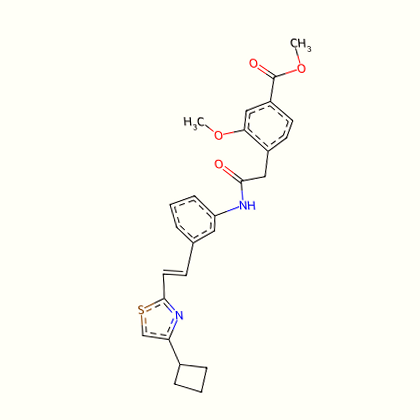 COC(=O)c1ccc(CC(=O)Nc2cccc(/C=C/c3nc(C4CCC4)cs3)c2)c(OC)c1